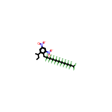 CCC(C)c1cc([N+](=O)[O-])cc([N+](=O)[O-])c1[CH]C(F)(F)C(F)(F)C(F)(F)C(F)(F)C(F)(F)C(F)(F)C(F)(F)C(F)(F)C(F)(F)C(F)F